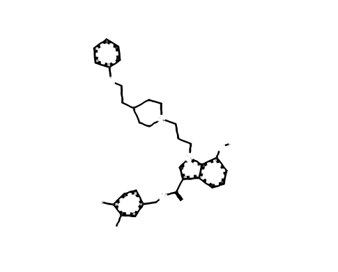 COc1cccc2c(C(=O)NCc3ccc(Cl)c(Cl)c3)cn(CCCN3CCC(CCOc4ccccc4)CC3)c12